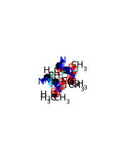 CCS(=O)(=O)N[C@@H]1[C@H](Cc2cccc(C(=O)c3nc(C#N)ccc3C)c2F)N(C(=O)OC(C)(C)C)CC1(F)F.CCS(=O)(=O)N[C@@H]1[C@H](Cc2cccc(C(F)(F)c3nc(C#N)ccc3C)c2F)N(C(=O)OC(C)(C)C)CC1(F)F